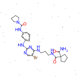 NC(=O)C1(C(=O)NCCCNc2nc(Nc3cccc(NC(=O)N4CCCC4)c3)ncc2Br)CCCC1